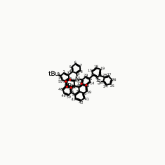 CC(C)(C)c1cc(-c2ccccc2N(c2cccc(-c3cccc4c3sc3ccccc34)c2)c2ccccc2-c2cccc3cccc(-c4ccccc4)c23)cc(C(C)(C)C)c1